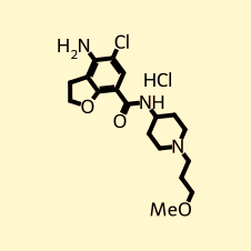 COCCCN1CCC(NC(=O)c2cc(Cl)c(N)c3c2OCC3)CC1.Cl